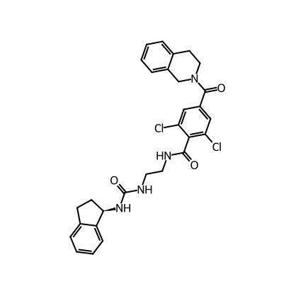 O=C(NCCNC(=O)c1c(Cl)cc(C(=O)N2CCc3ccccc3C2)cc1Cl)N[C@@H]1CCc2ccccc21